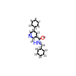 Cc1ncc(-c2ccccc2)cc1C(=O)NCc1ccccc1